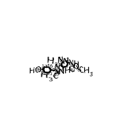 CCOC(=O)Nc1cc2c(c(N)n1)N=C(c1ccc(O)cc1)[C@@H](C)N2